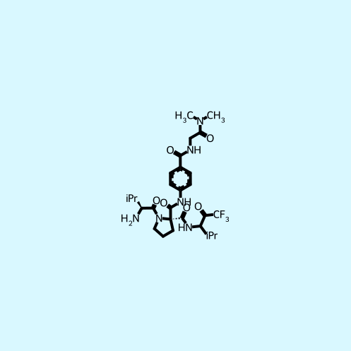 CC(C)C(NC(=O)[C@]1(C(=O)Nc2ccc(C(=O)NCC(=O)N(C)C)cc2)CCCN1C(=O)[C@@H](N)C(C)C)C(=O)C(F)(F)F